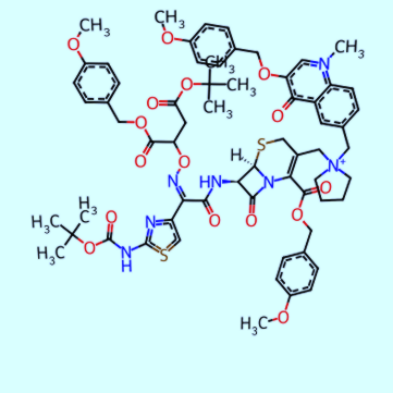 COc1ccc(COC(=O)C2=C(C[N+]3(Cc4ccc5c(c4)c(=O)c(OCc4ccc(OC)cc4)cn5C)CCCC3)CS[C@@H]3[C@H](NC(=O)C(=NOC(CC(=O)OC(C)(C)C)C(=O)OCc4ccc(OC)cc4)c4csc(NC(=O)OC(C)(C)C)n4)C(=O)N23)cc1